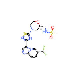 CS(=O)(=O)NC[C@@H]1CN(c2nc(-c3cnc4ccc(C(F)F)cn34)ns2)CCO1